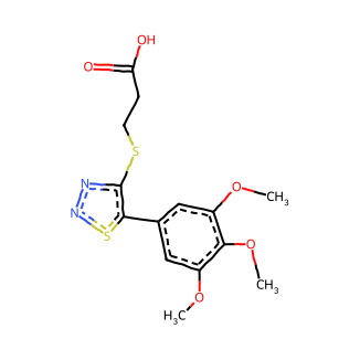 COc1cc(-c2snnc2SCCC(=O)O)cc(OC)c1OC